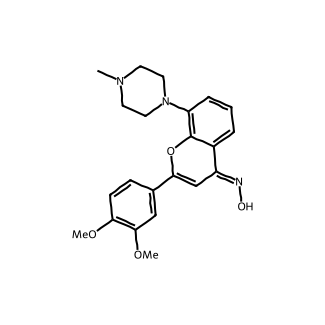 COc1ccc(-c2c/c(=N\O)c3cccc(N4CCN(C)CC4)c3o2)cc1OC